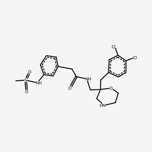 CS(=O)(=O)Nc1cccc(CC(=O)NCC2(Cc3ccc(Cl)c(Cl)c3)CNCCO2)c1